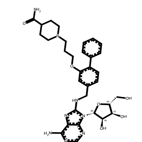 NC(=O)C1CCN(CCCOc2cc(CNc3nc4c(N)ncnc4n3[C@@H]3O[C@H](CO)[C@@H](O)[C@H]3O)ccc2-c2ccccc2)CC1